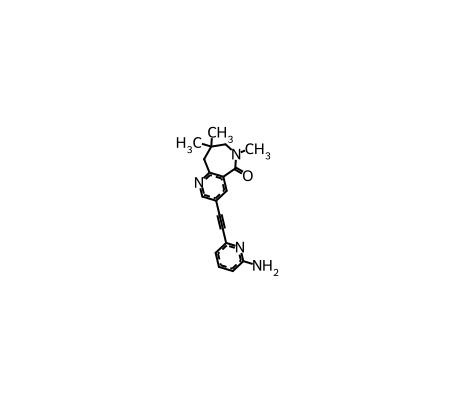 CN1CC(C)(C)Cc2ncc(C#Cc3cccc(N)n3)cc2C1=O